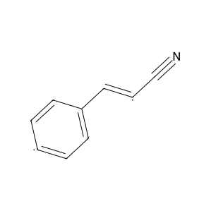 N#C[C]=Cc1cc[c]cc1